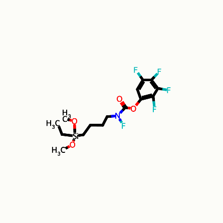 CC[Si](CCCCN(F)C(=O)Oc1cc(F)c(F)c(F)c1F)(OC)OC